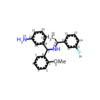 COc1ccccc1C(N[C@@H](C)c1cccc(F)c1)c1cccc(N)c1